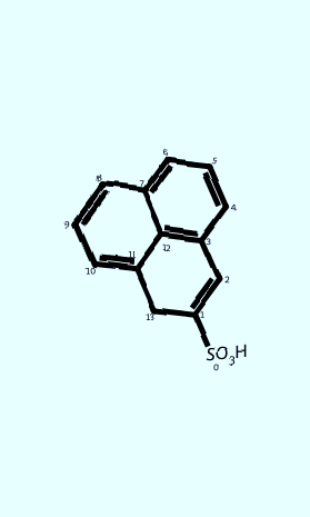 O=S(=O)(O)C1=Cc2cccc3cccc(c23)C1